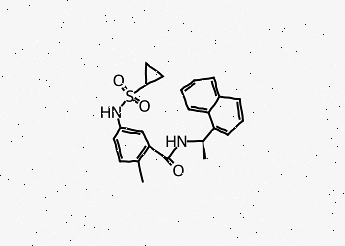 Cc1ccc(NS(=O)(=O)C2CC2)cc1C(=O)N[C@H](C)c1cccc2ccccc12